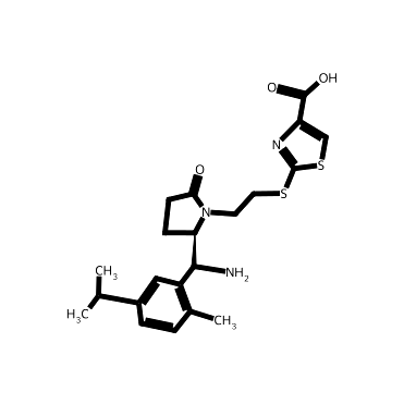 Cc1ccc(C(C)C)cc1C(N)[C@H]1CCC(=O)N1CCSc1nc(C(=O)O)cs1